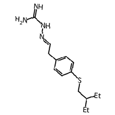 CCC(CC)CSc1ccc(CC=NNC(=N)N)cc1